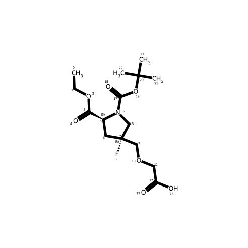 CCOC(=O)[C@@H]1C[C@](F)(COCC(=O)O)CN1C(=O)OC(C)(C)C